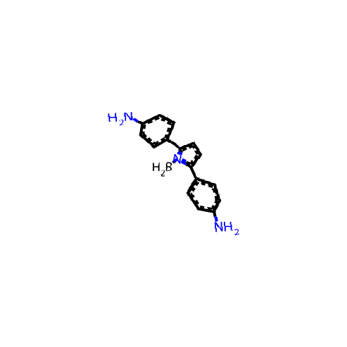 Bn1c(-c2ccc(N)cc2)ccc1-c1ccc(N)cc1